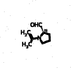 C=C(C)N1CCC[C@H]1C=O